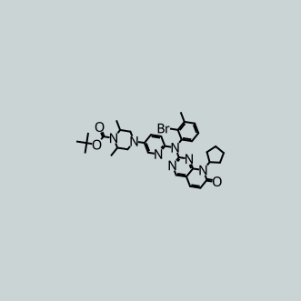 Cc1cccc(N(c2ccc(N3CC(C)N(C(=O)OC(C)(C)C)C(C)C3)cn2)c2ncc3ccc(=O)n(C4CCCC4)c3n2)c1Br